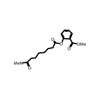 CNC(=O)CCCCCCC(=O)Oc1ccccc1C(=O)OC